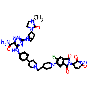 CN1CCN(C2CC3CC2N(c2nnc(C(N)=O)c(Nc4ccc(C5CCN(CC6CCN(c7cc8c(cc7F)C(=O)N(C7CCC(=O)NC7=O)C8=O)CC6)CC5)cc4)n2)C3)C1=O